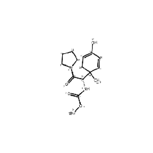 CC(C)(C)OC(=O)N[C@H](C(=O)N1CCCC1)C1(C)C=CC(O)=CC1